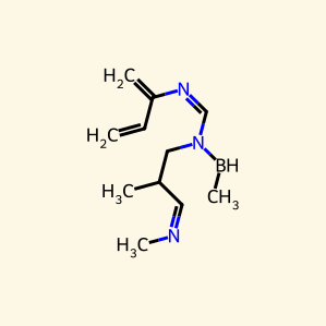 C=CC(=C)/N=C\N(BC)CC(C)/C=N\C